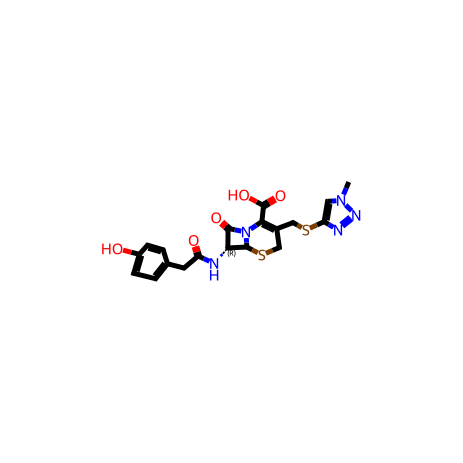 Cn1cc(SCC2=C(C(=O)O)N3C(=O)[C@@H](NC(=O)Cc4ccc(O)cc4)C3SC2)nn1